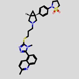 Cc1ccc2c(-c3nnc(SCCCN4C[C@@H]5C[C@]5(c5ccc(N6CCCS6(=O)=O)cc5)C4)n3C)cccc2n1